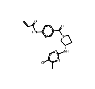 C=CC(=O)Nc1ccc(C(=O)N2CC[C@H](Nc3ncc(Cl)c(C)n3)C2)cc1